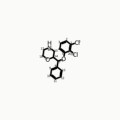 Clc1cccc(OC(c2ccccc2)C2CNCCO2)c1Cl